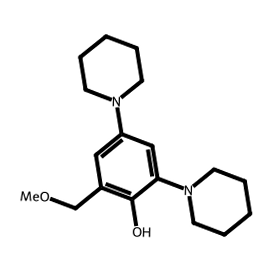 COCc1cc(N2CCCCC2)cc(N2CCCCC2)c1O